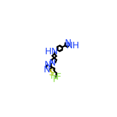 FC(F)(F)Cc1cc2c(N3CCC4(CC(Nc5ccc(-c6cn[nH]c6)cc5)C4)C3)ncnc2s1